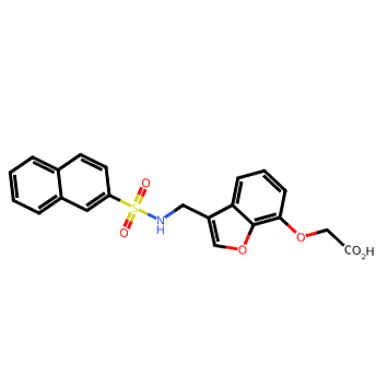 O=C(O)COc1cccc2c(CNS(=O)(=O)c3ccc4ccccc4c3)coc12